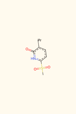 CC(C)c1ccc(S(C)(=O)=O)[nH]c1=O